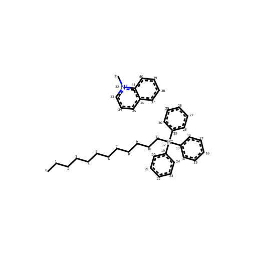 CCCCCCCCCCCC[B-](c1ccccc1)(c1ccccc1)c1ccccc1.C[n+]1cccc2ccccc21